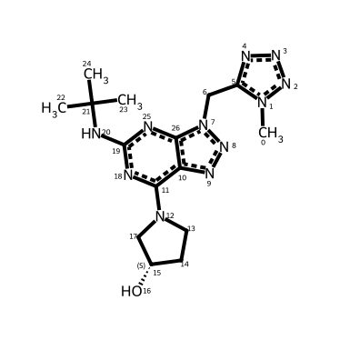 Cn1nnnc1Cn1nnc2c(N3CC[C@H](O)C3)nc(NC(C)(C)C)nc21